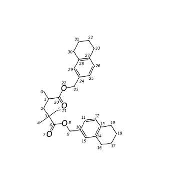 CC(CC(C)(C)C(=O)OCc1ccc2c(c1)CCCC2)C(=O)OCc1ccc2c(c1)CCCC2